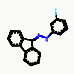 Fc1cccc(NN=C2c3ccccc3-c3ccccc32)c1